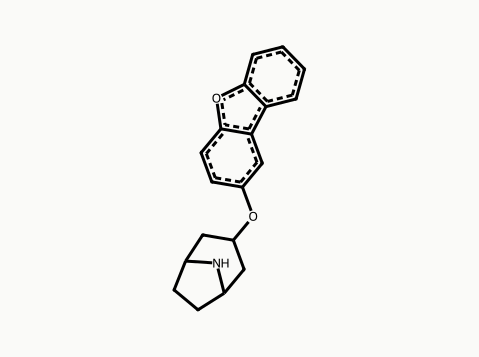 c1ccc2c(c1)oc1ccc(OC3CC4CCC(C3)N4)cc12